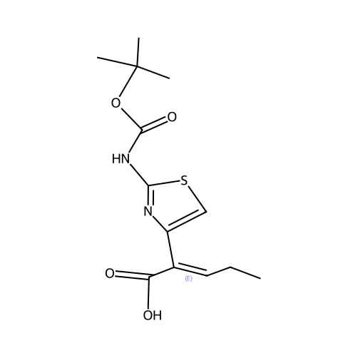 CC/C=C(/C(=O)O)c1csc(NC(=O)OC(C)(C)C)n1